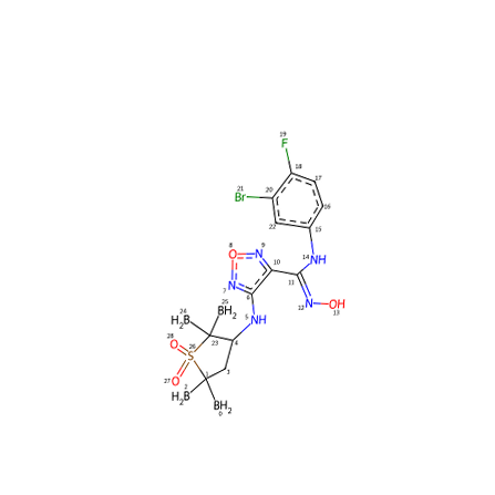 BC1(B)CC(Nc2nonc2/C(=N/O)Nc2ccc(F)c(Br)c2)C(B)(B)S1(=O)=O